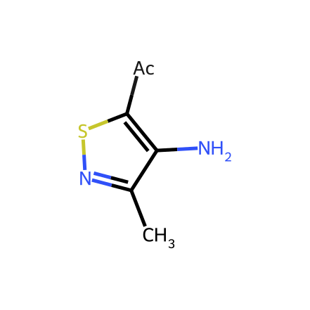 CC(=O)c1snc(C)c1N